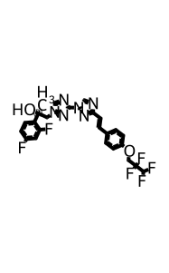 C[C@](O)(Cn1cnc(-n2cnc(C=Cc3ccc(OCC(F)(F)C(F)F)cc3)n2)n1)c1ccc(F)cc1F